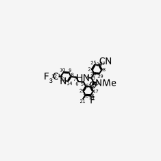 CNC(=O)C(NC(CCc1ccc(C(F)(F)F)nc1)c1ccc(F)c(C)c1)c1ccc(C#N)cc1